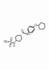 CC(C)(C)S(=O)(=O)N[C@H]1CC[C@H](C(=O)Nc2ccc(OC3CCCCC3)cc2)CC1